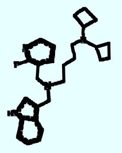 Fc1ncccc1CN(CCCCN(C1CCC1)C1CCC1)Cc1c[nH]c2ccccc12